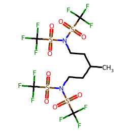 CC(CCN(S(=O)(=O)C(F)(F)F)S(=O)(=O)C(F)(F)F)CCN(S(=O)(=O)C(F)(F)F)S(=O)(=O)C(F)(F)F